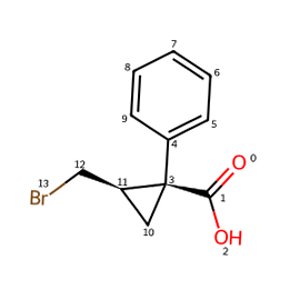 O=C(O)[C@@]1(c2ccccc2)C[C@H]1CBr